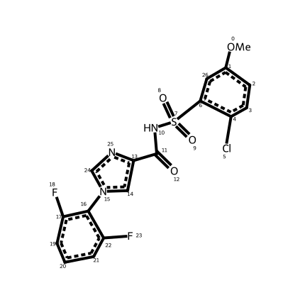 COc1ccc(Cl)c(S(=O)(=O)NC(=O)c2cn(-c3c(F)cccc3F)cn2)c1